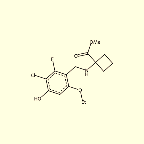 CCOc1cc(O)c(Cl)c(F)c1CNC1(C(=O)OC)CCC1